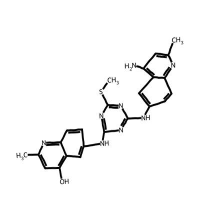 CSc1nc(Nc2ccc3nc(C)cc(N)c3c2)nc(Nc2ccc3nc(C)cc(O)c3c2)n1